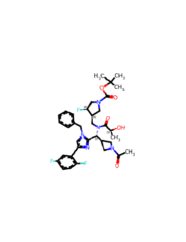 CC(=O)N1CC([C@H](c2nc(-c3cc(F)ccc3F)cn2Cc2ccccc2)N(C[C@@H]2CN(C(=O)OC(C)(C)C)C[C@@H]2F)C(=O)[C@H](C)O)C1